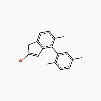 Cc1ccc(C)c(-c2c(C)ccc3c2C=C(Br)C3)c1